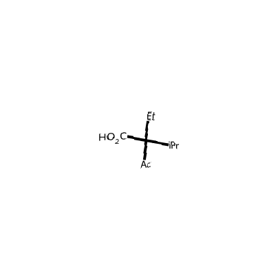 CCC(C(C)=O)(C(=O)O)C(C)C